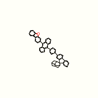 c1ccc2c(c1)-c1ccc(-c3ccc(-c4c5ccccc5c(-c5ccc6c(c5)oc5ccccc56)c5ccccc45)cc3)cc1C21C2CC3CC(C2)CC1C3